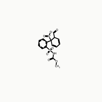 COC(=O)NS(=O)(=O)c1ccccc1C1([N+](=O)[O-])C=CC=CC1[C]=O